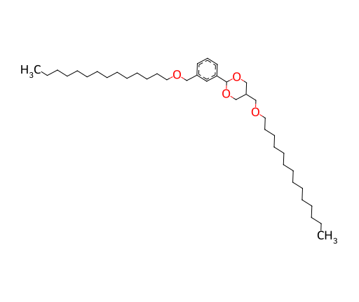 CCCCCCCCCCCCCCOCc1cccc(C2OCC(COCCCCCCCCCCCCCC)CO2)c1